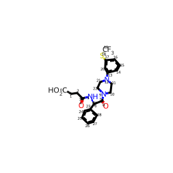 O=C(O)CCC(=O)N[C@@H](C(=O)N1CCN(c2cccc(SC(F)(F)F)c2)CC1)c1ccccc1